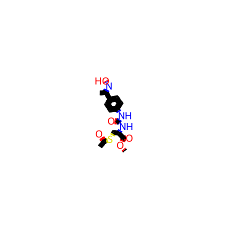 COC(=O)C(CSC(C)=O)NC(=O)Nc1ccc(/C(C)=N/O)cc1